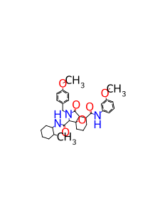 COc1ccc(CN2C(=O)C3C(C(=O)Nc4cccc(OC)c4)C4CCC3(O4)C2C(=O)NC2CCCCC2C)cc1